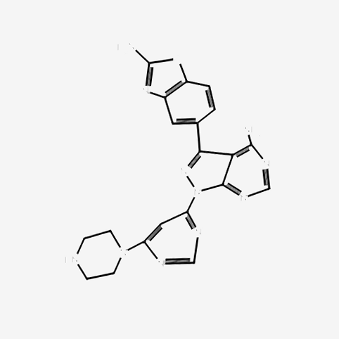 Nc1nc2cc(-c3nn(-c4cc(N5CCNCC5)ncn4)c4ncnc(N)c34)ccc2o1